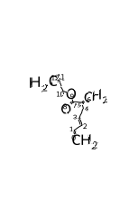 C=CC=CCC(=C)C(=O)OCC=C